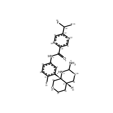 NC1N[C@@]2(c3cc(NC(=O)c4cnc(C(F)F)cn4)ccc3F)COCC[C@H]2CS1